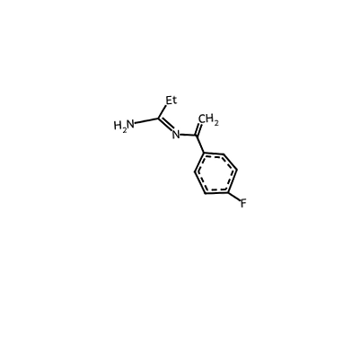 C=C(/N=C(/N)CC)c1ccc(F)cc1